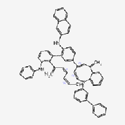 C=C1/C=C(c2ccc(Nc3ccc4ccccc4c3)c(-c3cccc(Nc4ccccc4)c3C(=C)/C=C\C=C/C)c2)\C=C/N(c2cccc(-c3ccccc3)c2)c2ccccc21